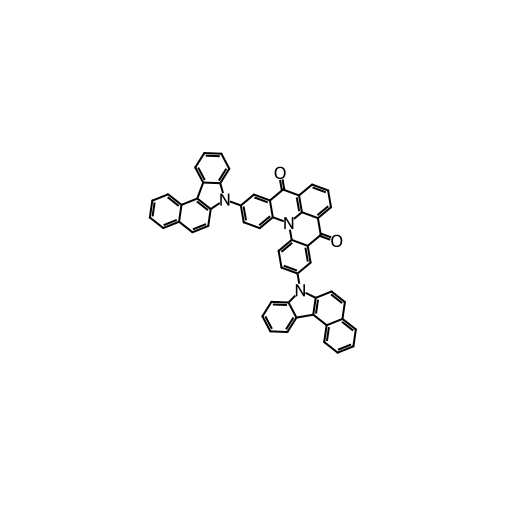 O=c1c2cc(-n3c4ccccc4c4c5ccccc5ccc43)ccc2n2c3ccc(-n4c5ccccc5c5c6ccccc6ccc54)cc3c(=O)c3cccc1c32